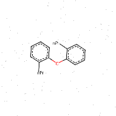 CCCc1ccccc1Oc1ccccc1CCC